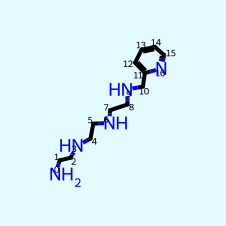 NCCNCCNCCNCc1ccccn1